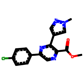 COC(=O)c1ncc(-c2ccc(Cl)cc2)nc1-c1cnn(C)c1